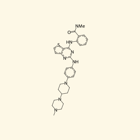 CNC(=O)c1ccccc1Nc1nc(Nc2ccc(N3CCC(N4CCN(C)CC4)CC3)cc2)nc2ccsc12